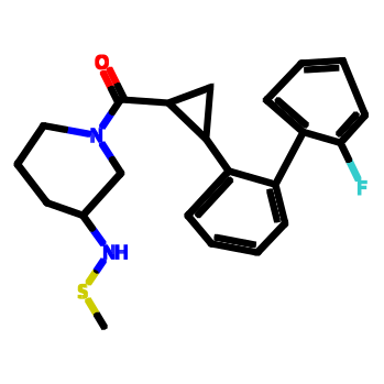 CSNC1CCCN(C(=O)C2CC2c2ccccc2-c2ccccc2F)C1